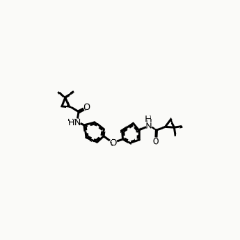 CC1(C)CC1C(=O)Nc1ccc(Oc2ccc(NC(=O)C3CC3(C)C)cc2)cc1